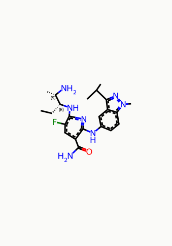 CC[C@@H](Nc1nc(Nc2ccc3c(c2)c(C(C)C)nn3C)c(C(N)=O)cc1F)[C@H](C)N